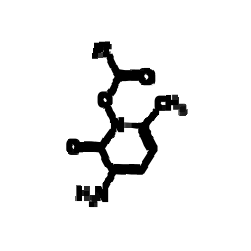 CCC(=O)On1c(C)ccc(N)c1=O